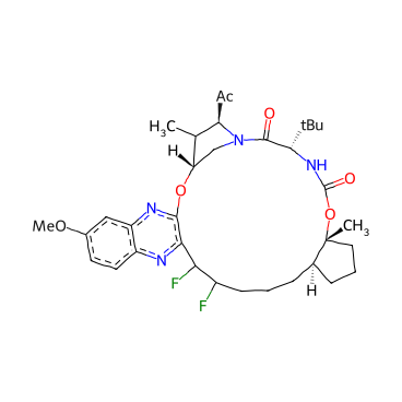 COc1ccc2nc3c(nc2c1)O[C@H]1CN(C(=O)[C@H](C(C)(C)C)NC(=O)O[C@]2(C)CCC[C@H]2CCCC(F)C3F)[C@H](C(C)=O)C1C